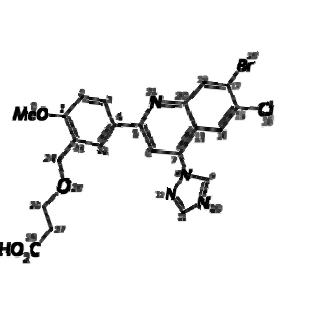 COc1ccc(-c2cc(-n3cncn3)c3cc(Cl)c(Br)cc3n2)cc1COCCC(=O)O